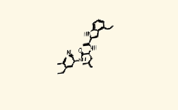 C=C(N[C@@H](CC(C)C)C(=O)NC(C#N)CC(CC)C(=C)C)c1cc2c(CC)cccc2[nH]1